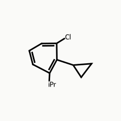 CC(C)c1cccc(Cl)c1C1CC1